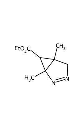 CCOC(=O)C1C2(C)CN=NC12C